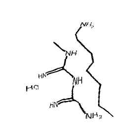 CCCCCCN.CNC(=N)NC(=N)N.Cl